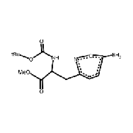 Bc1ccc(CC(NC(=O)OC(C)(C)C)C(=O)OC)nc1